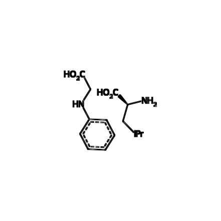 CC(C)C[C@H](N)C(=O)O.O=C(O)CNc1ccccc1